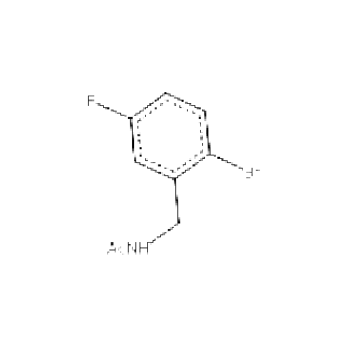 CC(=O)NCc1cc(F)ccc1Br